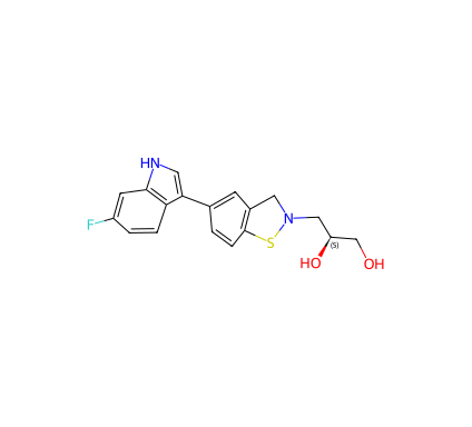 OC[C@@H](O)CN1Cc2cc(-c3c[nH]c4cc(F)ccc34)ccc2S1